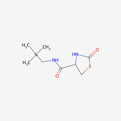 C[Si](C)(C)CNC(=O)C1CSC(=O)N1